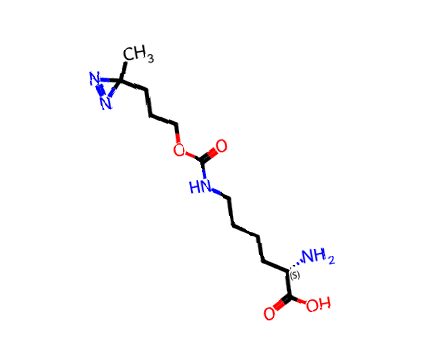 CC1(CCCOC(=O)NCCCC[C@H](N)C(=O)O)N=N1